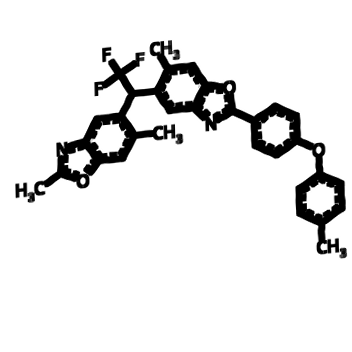 Cc1ccc(Oc2ccc(-c3nc4cc(C(c5cc6nc(C)oc6cc5C)C(F)(F)F)c(C)cc4o3)cc2)cc1